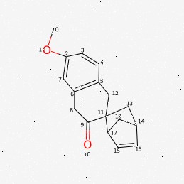 COc1ccc2c(c1)CC(=O)C1(C2)CC2C=CC1C2